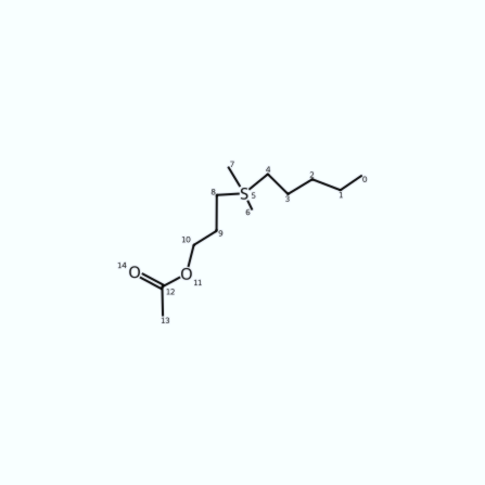 CCCCCS(C)(C)CCCOC(C)=O